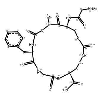 CCCN1CC(=O)N[C@H](Cc2ccccc2)C(=O)NCC(=O)N[C@H](C(N)=O)CCNC(=O)CC[C@H](NC(=O)CNC(C)=O)C1=O